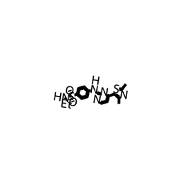 CCNS(=O)(=O)c1ccc(Nc2nccc(-c3sc(C)nc3C)n2)cc1